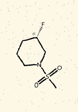 CS(=O)(=O)N1CCC[C@H](F)C1